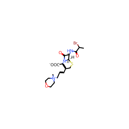 CC(Br)C(=O)N[C@@H]1C(=O)N2C(C(=O)[O-])=C(C=CC[N+]3(C)CCOCC3)CS[C@H]12